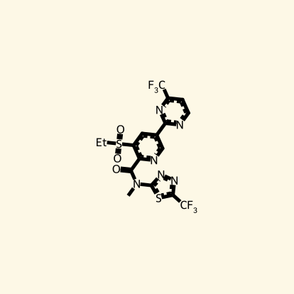 CCS(=O)(=O)c1cc(-c2nccc(C(F)(F)F)n2)cnc1C(=O)N(C)c1nnc(C(F)(F)F)s1